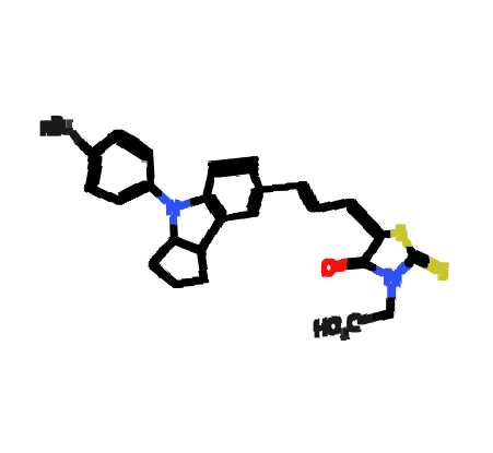 CCCCc1ccc(N2c3ccc(C=CC=C4SC(=S)N(CC(=O)O)C4=O)cc3C3CCCC32)cc1